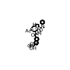 CC(=O)N1CC[C@H]2CC[C@@H](C(=O)N(C)c3ccccc3)N2C(=O)[C@@H](NC(=O)c2ccc3ccc(CP(=O)(O)O)cc3c2)C1